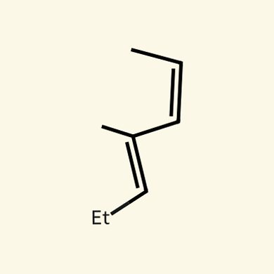 C/C=C\C(C)=C\CC